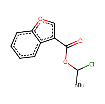 CCCCC(Cl)OC(=O)c1coc2ccccc12